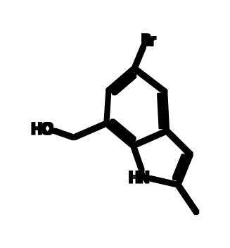 Cc1cc2cc(Br)cc(CO)c2[nH]1